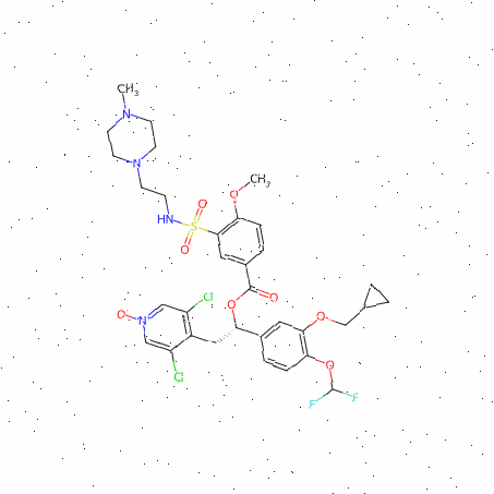 COc1ccc(C(=O)O[C@@H](Cc2c(Cl)c[n+]([O-])cc2Cl)c2ccc(OC(F)F)c(OCC3CC3)c2)cc1S(=O)(=O)NCCN1CCN(C)CC1